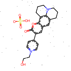 O=S(=O)([O-])O.O=c1oc2c3c4c(cc2cc1-c1cc[n+](CCO)cc1)CCCN4CCC3